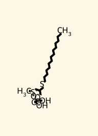 CCCCCCCCCCCCCCCCSCC(COP(=O)(O)O)C[S+](C)[O-]